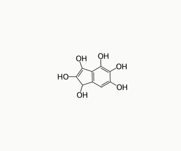 OC1=C(O)C(O)c2cc(O)c(O)c(O)c21